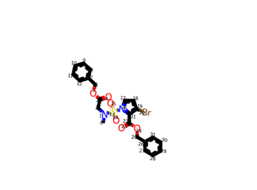 CN(CC(=O)OCc1ccccc1)S(=O)(=O)n1ccc(Br)c1C(=O)OCc1ccccc1